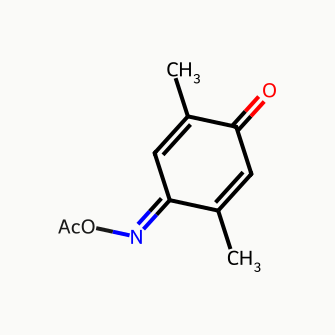 CC(=O)O/N=C1\C=C(C)C(=O)C=C1C